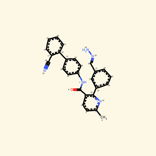 Cc1ccc(C(=O)Nc2ccc(-c3ccccc3C#N)cc2)c(-c2cccc(C=NN)c2)n1